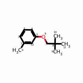 Cc1cccc(OCC(C)(C)C)c1